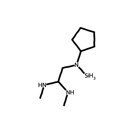 CNC(CN([SiH3])C1CCCC1)NC